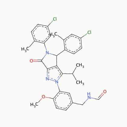 COc1ccc(CNC=O)cc1-n1nc2c(c1C(C)C)C(c1ccc(Cl)cc1C)N(c1cc(Cl)ccc1C)C2=O